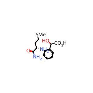 CSCC[C@H](N)C(N)=O.O=C(O)C(O)c1ccccc1